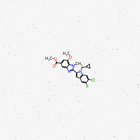 COC(=O)c1cc(OC)c2c(c1)nc(-c1cc3cc(F)c(Cl)cc3n1CC1CC1)n2C